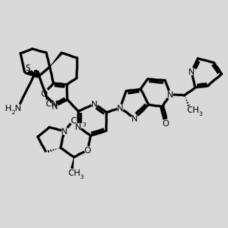 C[C@H](Oc1cc(-n2cc3ccn([C@@H](C)c4ccccn4)c(=O)c3n2)nc(-c2noc3c2CCC[C@@]32CCCc3sc(N)c(C#N)c32)n1)[C@@H]1CCCN1C